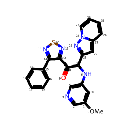 COc1cncc(NC(C(=O)c2nsnc2-c2ccccc2)c2cc3ccccn3n2)c1